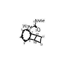 CNC(N)=O.c1ccc2c(c1)C1CCC21